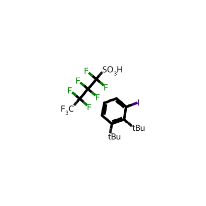 CC(C)(C)c1cccc(I)c1C(C)(C)C.O=S(=O)(O)C(F)(F)C(F)(F)C(F)(F)C(F)(F)F